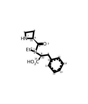 CCN(C(=O)[C@@H]1CCN1)[C@@H](Cc1ccccc1)C(=O)O